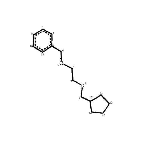 [c]1ccc(COCCOCC2CCCC2)cc1